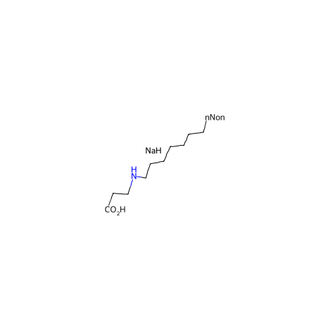 CCCCCCCCCCCCCCCCNCCC(=O)O.[NaH]